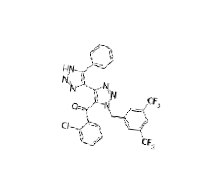 O=C(c1ccccc1Cl)c1c(-c2nn[nH]c2-c2ccccc2)nnn1Cc1cc(C(F)(F)F)cc(C(F)(F)F)c1